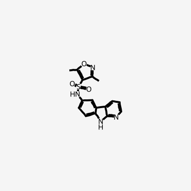 Cc1noc(C)c1S(=O)(=O)Nc1ccc2[nH]c3ncccc3c2c1